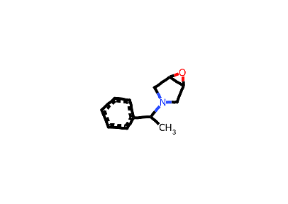 CC(c1ccccc1)N1CC2OC2C1